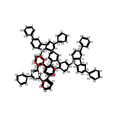 c1ccc(-c2ccc3c(c2)c2cc(-c4ccccc4)ccc2n3-c2ccc(-c3nc(-c4ccccc4)nc(-c4ccccc4)n3)c(-c3ccccc3-c3ccccc3-c3cc(-n4c5ccc(-c6ccccc6)cc5c5cc(-c6ccccc6)ccc54)ccc3-c3nc(-c4ccccc4)nc(-c4ccccc4)n3)c2)cc1